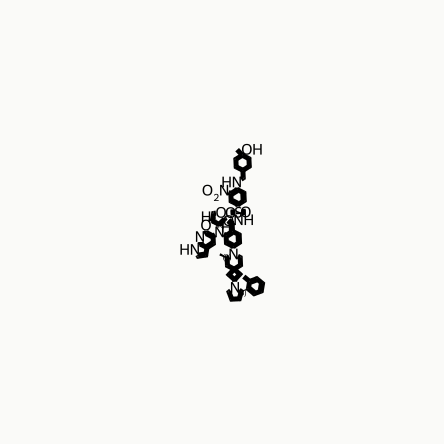 Cc1ccccc1[C@@H]1CCCN1C1CC2(CCN(c3ccc(C(=O)NS(=O)(=O)c4ccc(NCC5CCC(C)(O)CC5)c([N+](=O)[O-])c4)c(N4c5cc6cc[nH]c6nc5O[C@@H]5COC[C@H]54)c3)[C@H](C)C2)C1